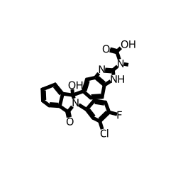 CN(C(=O)O)c1nc2cc(C3(O)c4ccccc4C(=O)N3c3ccc(F)c(Cl)c3)ccc2[nH]1